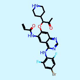 C=CC(=O)Nc1cc2c(Nc3c(F)cc(Br)cc3F)ncnc2cc1OC(C(C)=O)C1CCNCC1